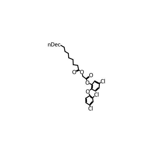 CCCCCCCCCCCCCCCCCC(=O)OCC(=O)Oc1cc(Cl)ccc1Oc1ccc(Cl)cc1Cl